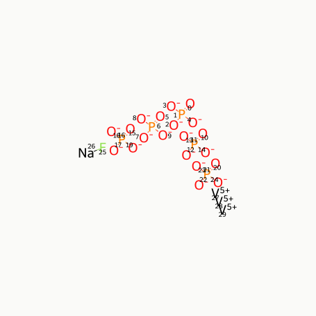 O=P([O-])([O-])[O-].O=P([O-])([O-])[O-].O=P([O-])([O-])[O-].O=P([O-])([O-])[O-].O=P([O-])([O-])[O-].[F][Na].[V+5].[V+5].[V+5]